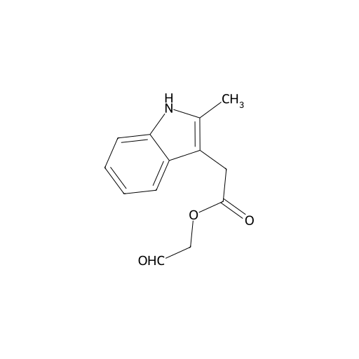 Cc1[nH]c2ccccc2c1CC(=O)OCC=O